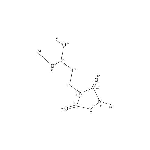 COC(CCN1C(=O)CN(C)C1=O)OC